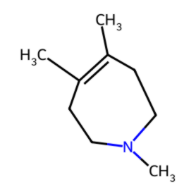 CC1=C(C)CCN(C)CC1